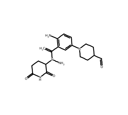 C=C(c1cc(N2CCC(C=O)CC2)ccc1N)N(N)C1CCC(=O)NC1=O